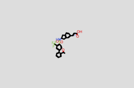 CC(=O)c1ccccc1-c1ccc(S(=O)(=O)NC2Cc3ccc(/C=C/C(=O)O)cc3C2)c(C(F)(F)F)c1